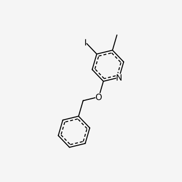 Cc1cnc(OCc2ccccc2)cc1I